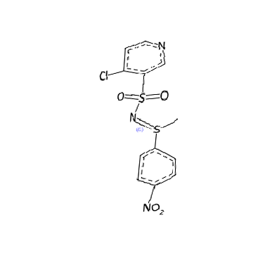 C/S(=N\S(=O)(=O)c1cnccc1Cl)c1ccc([N+](=O)[O-])cc1